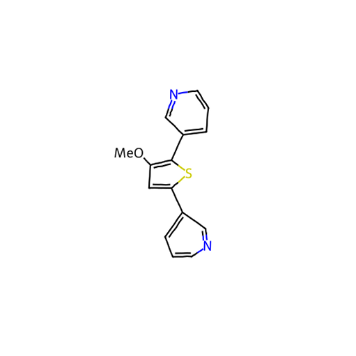 COc1cc(-c2cccnc2)sc1-c1cccnc1